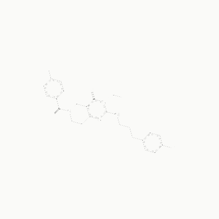 COn1c(NCCCc2ccc(Cl)cc2)nc2c(c1=O)CN(C(=O)c1ccc(Cl)cc1)CC2